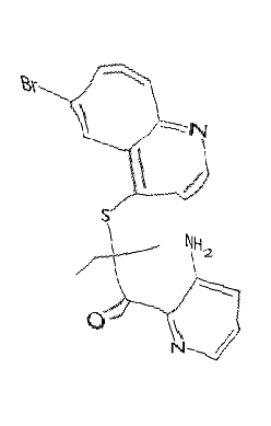 CC(C)(Sc1ccnc2ccc(Br)cc12)C(=O)c1ncccc1N